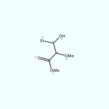 CCC(O)C(OC)C(=O)OC